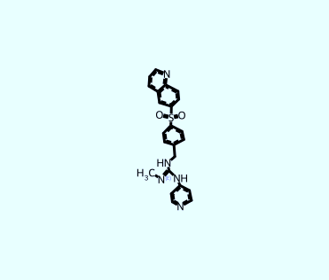 C/N=C(\NCc1ccc(S(=O)(=O)c2ccc3ncccc3c2)cc1)Nc1ccncc1